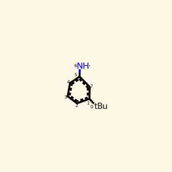 CC(C)(C)c1cccc([NH])c1